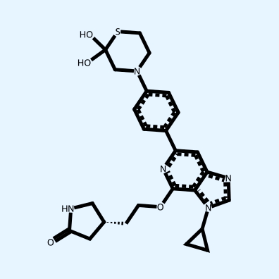 O=C1C[C@@H](CCOc2nc(-c3ccc(N4CCSC(O)(O)C4)cc3)cc3ncn(C4CC4)c23)CN1